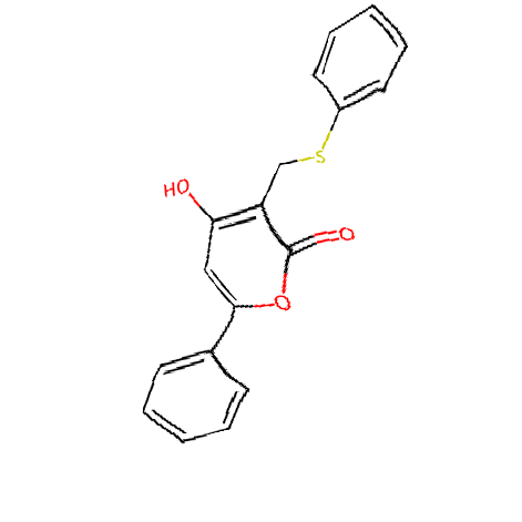 O=c1oc(-c2ccccc2)cc(O)c1CSc1ccccc1